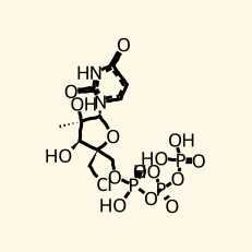 C[C@@]1(O)[C@H](O)[C@@](CCl)(COP(=O)(O)OP(=O)(O)OP(=O)(O)O)O[C@H]1n1ccc(=O)[nH]c1=O